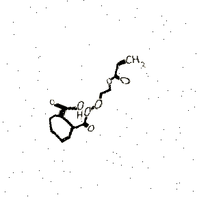 C=CC(=O)OCCOOC(=O)C1CCCCC1C(=O)O